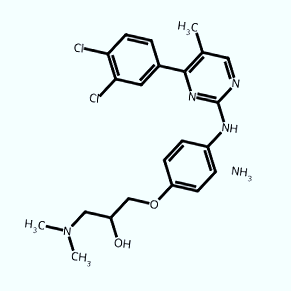 Cc1cnc(Nc2ccc(OCC(O)CN(C)C)cc2)nc1-c1ccc(Cl)c(Cl)c1.N